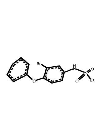 CCS(=O)(=O)Nc1ccc(Oc2ccccc2)c(Br)c1